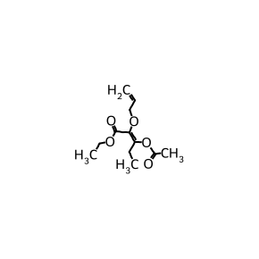 C=CCOC(C(=O)OCC)=C(CC)OC(C)=O